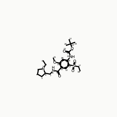 CCN1CCCC1CNC(=O)c1cc(S(=O)(=O)CC)c(NC(=O)OC(C)(C)C)cc1OC